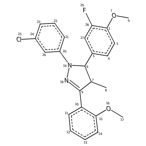 COc1ccc(C2C(C)C(c3ccccc3OC)=NN2c2cccc(Cl)c2)cc1F